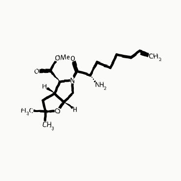 C=CCCCC[C@H](N)C(=O)N1C[C@@H]2OC(C)(C)C[C@@H]2[C@H]1C(=O)OC